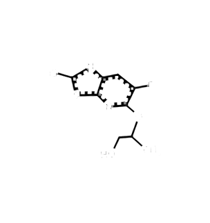 CC(CO)Oc1nc2sc(Cl)nc2cc1F